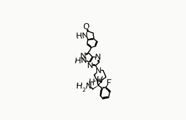 NC[C@]1(c2ccccc2F)[C@@H]2CCN(c3cnc4c(-c5ccc6c(c5)NC(=O)C6)n[nH]c4n3)C[C@@H]21